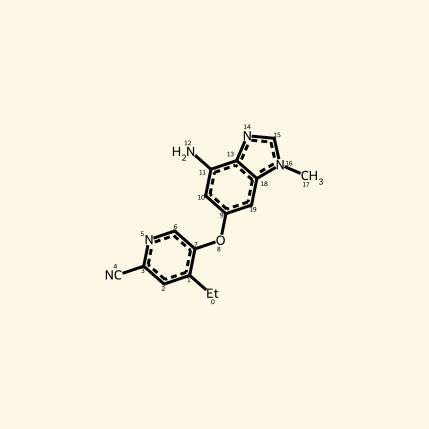 CCc1cc(C#N)ncc1Oc1cc(N)c2ncn(C)c2c1